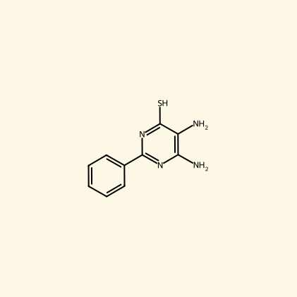 Nc1nc(-c2ccccc2)nc(S)c1N